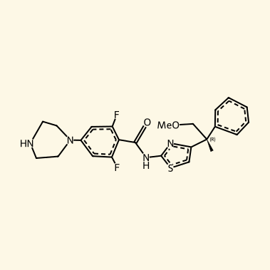 COC[C@](C)(c1ccccc1)c1csc(NC(=O)c2c(F)cc(N3CCNCC3)cc2F)n1